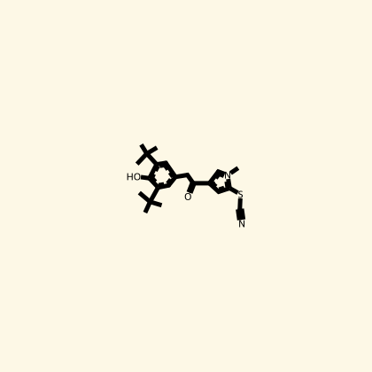 Cn1cc(C(=O)Cc2cc(C(C)(C)C)c(O)c(C(C)(C)C)c2)cc1SC#N